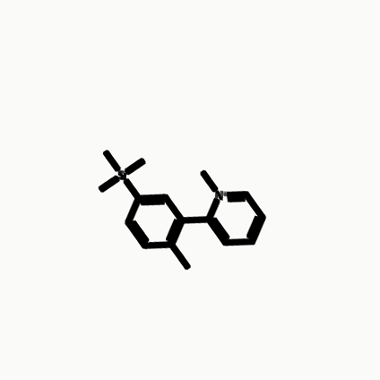 Cc1ccc([Si](C)(C)C)cc1-c1cccc[n+]1C